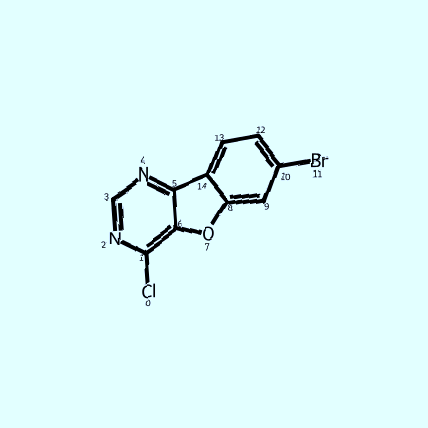 Clc1ncnc2c1oc1cc(Br)ccc12